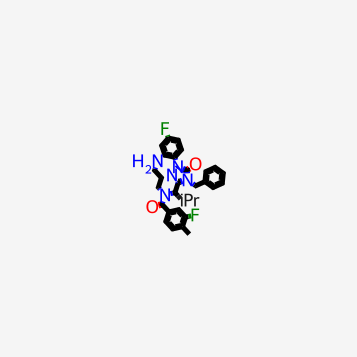 Cc1ccc(C(=O)N(CCCN)C(c2nn(-c3ccc(F)cc3)c(=O)n2Cc2ccccc2)C(C)C)cc1F